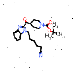 CC(C)(C)OC(=O)N1CCC(C(=O)c2nc3ccccc3n2CCCCCC#N)CC1